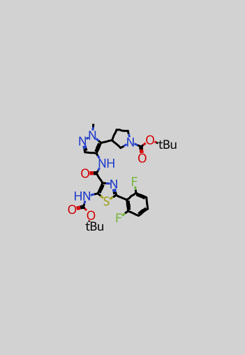 Cn1ncc(NC(=O)c2nc(-c3c(F)cccc3F)sc2NC(=O)OC(C)(C)C)c1C1CCN(C(=O)OC(C)(C)C)C1